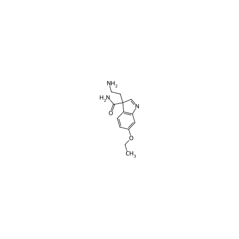 CCOc1ccc2c(c1)N=CC2(CCN)C(N)=O